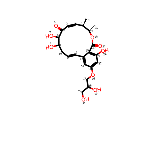 C[C@@H]1/C=C\C(=O)C(O)C(O)C/C=C/c2cc(OCC(O)CO)cc(O)c2C(=O)O[C@H]1C